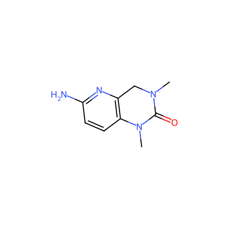 CN1Cc2nc(N)ccc2N(C)C1=O